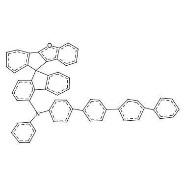 c1ccc(-c2ccc(-c3ccc(-c4ccc(N(c5ccccc5)c5cccc6c5-c5ccccc5C65c6ccccc6-c6oc7ccccc7c65)cc4)cc3)cc2)cc1